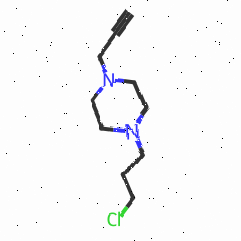 C#CCN1CCN(CCCCl)CC1